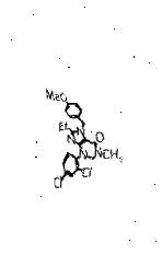 CCc1nc2c(n1Cc1ccc(OC)cc1)C(=O)N(C)CN2c1ccc(Cl)cc1Cl